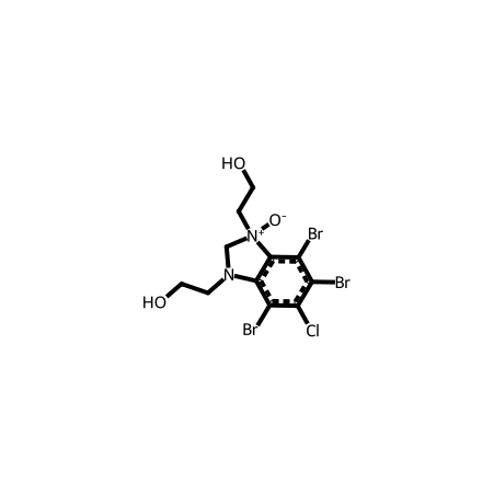 [O-][N+]1(CCO)CN(CCO)c2c(Br)c(Cl)c(Br)c(Br)c21